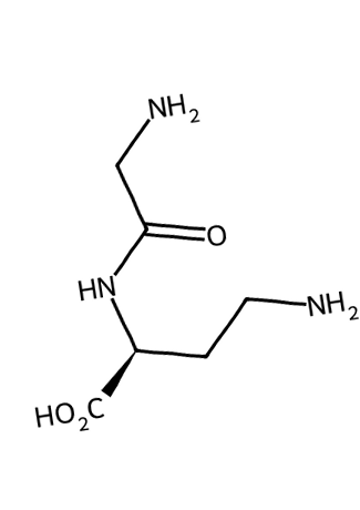 NCC[C@H](NC(=O)CN)C(=O)O